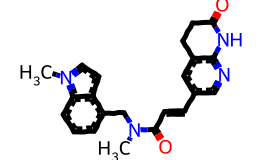 CN(Cc1cccc2c1ccn2C)C(=O)C=Cc1cnc2c(c1)CCC(=O)N2